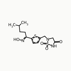 CC(C)CCC(=NO)c1ccc(CN2CC(=O)NS2(=O)=O)s1